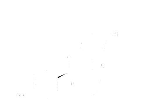 Cc1cc([C@H]2Oc3ccc(O)cc3[C@H]3CCC[C@H]32)ccc1O